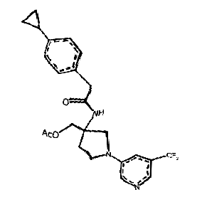 CC(=O)OCC1(NC(=O)Cc2ccc(C3CC3)cc2)CCN(c2cncc(C(F)(F)F)c2)C1